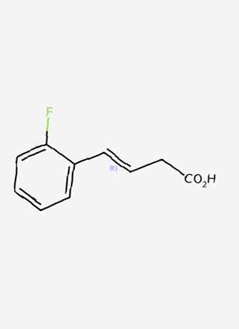 O=C(O)C/C=C/c1ccccc1F